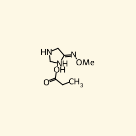 CCC(=O)O.CON=C1CNCN1